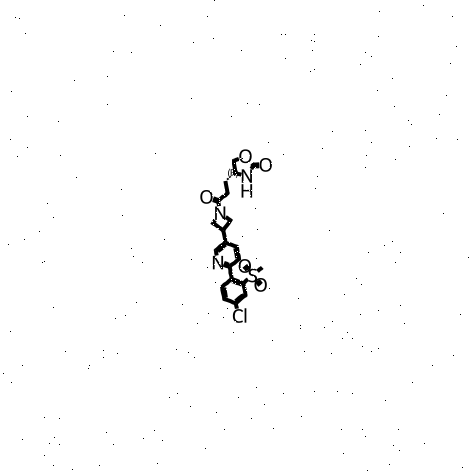 CS(=O)(=O)c1cc(Cl)ccc1-c1ccc(C2CN(C(=O)CC[C@@H]3COC(=O)N3)C2)cn1